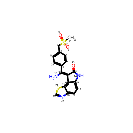 CS(=O)(=O)Cc1ccc(/C(N)=C2\C(=O)Nc3ccc4ncsc4c32)cc1